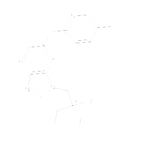 Cc1ccc(Oc2ccc3ncn(C[C@@](C)(O)CO)c3c2)nc1